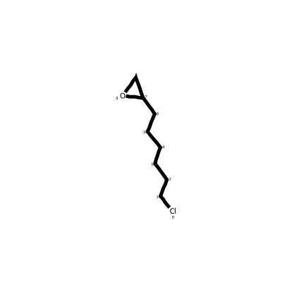 ClCCCCCCC1CO1